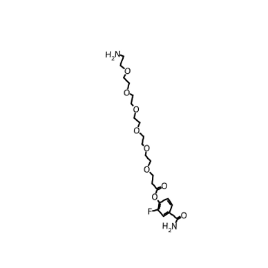 NCCOCCOCCOCCOCCOCCOCCC(=O)Oc1ccc(C(N)=O)cc1F